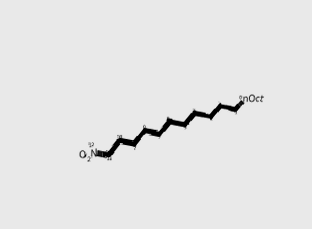 CCCCCCCCCCCCCCCCCCC[N+](=O)[O-]